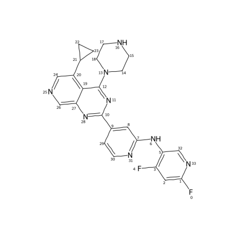 Fc1cc(F)c(Nc2cc(-c3nc(N4CCNCC4)c4c(C5CC5)cncc4n3)ccn2)cn1